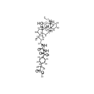 CC[C@H]1[C@@H](O)[C@@H]2[C@H](CC[C@]3(C)[C@@H]([C@H](C)CCNC(=O)NS(=O)(=O)c4ccc(C(C)(C)C(=O)OC)cc4)CC[C@@H]23)[C@@]2(C)CCCC[C@@H]12